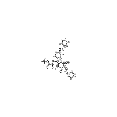 CC(C)(C)OC(=O)N1CCc2c(cc(O)c(OCc3ccccc3)c2Cl)C(c2ccc(OCc3ccccc3)cc2)C1